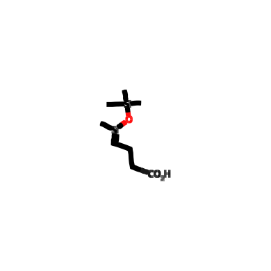 C[Si](=CCCC(=O)O)O[Si](C)(C)C